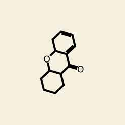 O=C1C2=CC=CCC2OC2CCCCC12